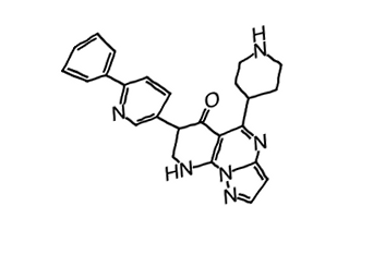 O=C1c2c(C3CCNCC3)nc3ccnn3c2NCC1c1ccc(-c2ccccc2)nc1